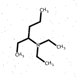 CCCC(CC)N(CC)CC